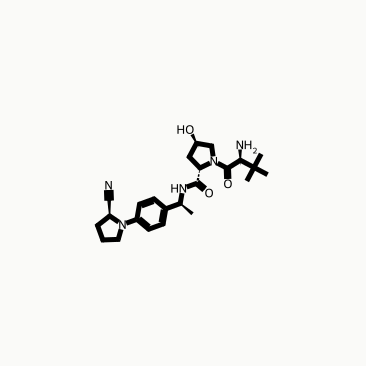 C[C@H](NC(=O)[C@@H]1C[C@@H](O)CN1C(=O)[C@@H](N)C(C)(C)C)c1ccc(N2CCC[C@H]2C#N)cc1